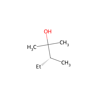 CC[C@@H](C)C(C)(C)O